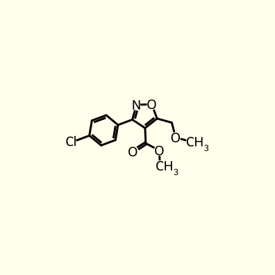 COCc1onc(-c2ccc(Cl)cc2)c1C(=O)OC